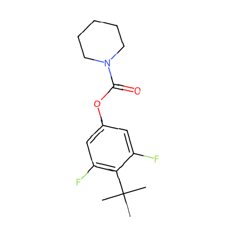 CC(C)(C)c1c(F)cc(OC(=O)N2CCCCC2)cc1F